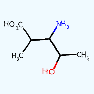 CC(O)C(N)C(C)C(=O)O